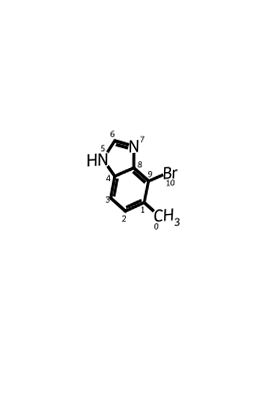 Cc1ccc2[nH]cnc2c1Br